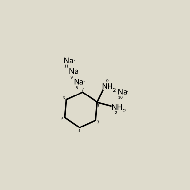 NC1(N)CCCCC1.[Na].[Na].[Na].[Na]